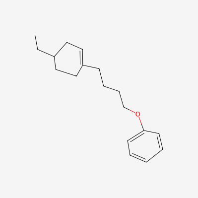 CCC1CC=C(CCCCOc2ccccc2)CC1